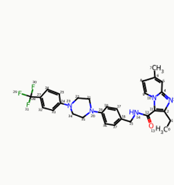 CCc1nc2cc(C)ccn2c1C(=O)NCc1ccc(N2CCN(c3ccc(C(F)(F)F)cc3)CC2)cc1